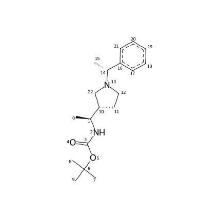 C[C@H](NC(=O)OC(C)(C)C)[C@H]1CCN([C@H](C)c2ccccc2)C1